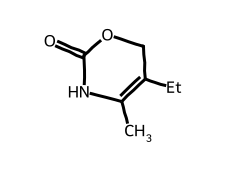 CCC1=C(C)NC(=O)OC1